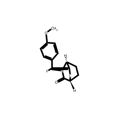 COc1ccc(CN2C(=O)[C@H]3CC[C@H]2/C(=C/F)C3)cc1